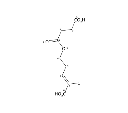 CC(=CCCOC(=O)CCC(=O)O)C(=O)O